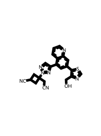 N#CCC1(n2ncc(-c3cc(-c4scnc4CO)cc4ncccc34)n2)CC(C#N)C1